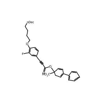 CCCCCCCCCCCCCCOc1ccc(C#CC(=O)OC2(C(=O)O)C=CC(c3ccccc3)=CC2)cc1F